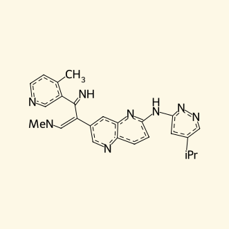 CN/C=C(\C(=N)c1cnccc1C)c1cnc2ccc(Nc3cc(C(C)C)cnn3)nc2c1